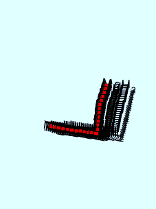 [MgH2].[MgH2].[MgH2].[MgH2].[MgH2].[MgH2].[MgH2].[MgH2].[MgH2].[MgH2].[MgH2].[MgH2].[MgH2].[MgH2].[MgH2].[MgH2].[MgH2].[MgH2].[MgH2].[MgH2].[MgH2].[MgH2].[MgH2].[MgH2].[MgH2].[MgH2].[MgH2].[MgH2].[MgH2].[MgH2].[MgH2].[MgH2].[MgH2].[MgH2].[MgH2].[MgH2].[MgH2].[MgH2].[MgH2].[MgH2].[MgH2].[MgH2].[MgH2].[MgH2].[MgH2].[MgH2].[MgH2].[MgH2].[MgH2].[MgH2]